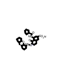 Cc1ccccc1Oc1ccccc1N/N=C1/C=Cc2cc(S(=O)(=O)O)cc(NC(=O)c3ccccc3)c2C1=O